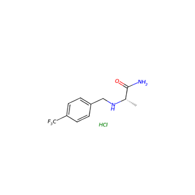 C[C@H](NCc1ccc(C(F)(F)F)cc1)C(N)=O.Cl